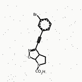 O=C(O)N1CCC2C(C#Cc3cccc(Br)c3)=NOC21